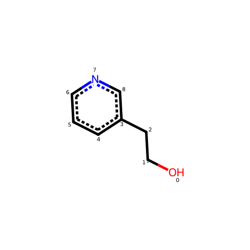 O[CH]Cc1cccnc1